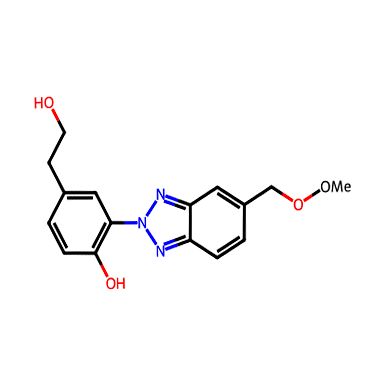 COOCc1ccc2nn(-c3cc(CCO)ccc3O)nc2c1